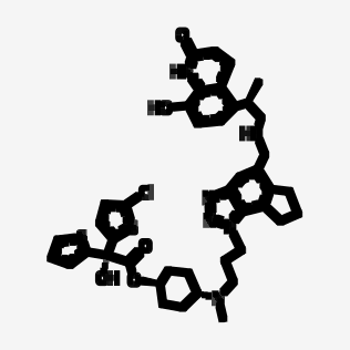 C[C@@H](CNCc1cc2nnn(CCCN(C)[C@H]3CC[C@H](OC(=O)[C@@](O)(c4cccs4)c4ccc(Cl)s4)CC3)c2c2c1CCC2)c1ccc(O)c2[nH]c(=O)ccc12